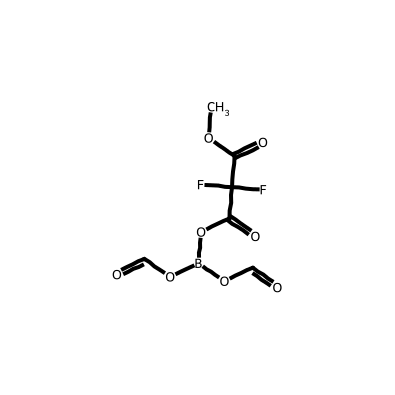 COC(=O)C(F)(F)C(=O)OB(OC=O)OC=O